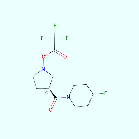 O=C([C@H]1CCN(OC(=O)C(F)(F)F)C1)N1CCC(F)CC1